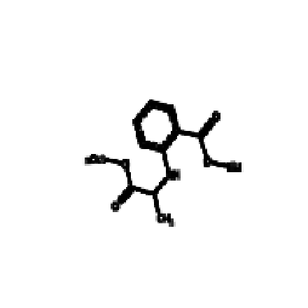 CCCCCCCCOC(=O)C(C)Nc1ccccc1C(=O)OC(C)(C)C